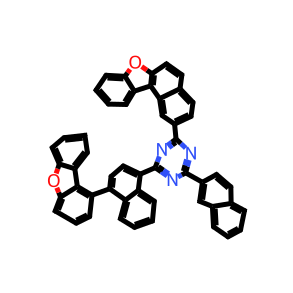 c1ccc2cc(-c3nc(-c4ccc5ccc6oc7ccccc7c6c5c4)nc(-c4ccc(-c5cccc6oc7ccccc7c56)c5ccccc45)n3)ccc2c1